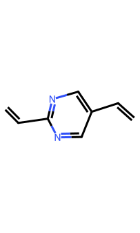 C=Cc1cnc(C=C)nc1